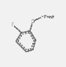 CCCCCOc1ccccc1F